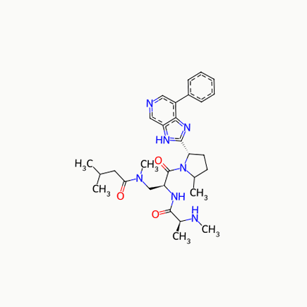 CN[C@@H](C)C(=O)N[C@@H](CN(C)C(=O)CC(C)C)C(=O)N1C(C)CC[C@H]1c1nc2c(-c3ccccc3)cncc2[nH]1